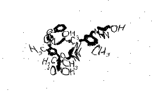 CC[C@@H]1CN(Cc2cc(C(OCc3cn(Cc4cc(C)cc(Cn5cc(CO)nn5)c4)nn3)C(C)(C)C(=O)O)ccc2C)S(=O)(=O)c2ccccc2O1